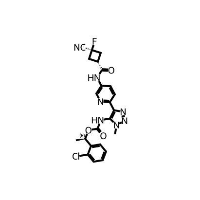 C[C@@H](OC(=O)Nc1c(-c2ccc(NC(=O)[C@H]3C[C@@](F)(C#N)C3)cn2)nnn1C)c1ccccc1Cl